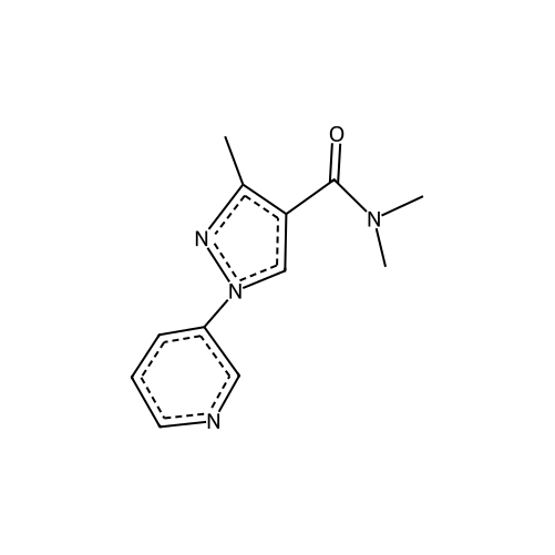 Cc1nn(-c2cccnc2)cc1C(=O)N(C)C